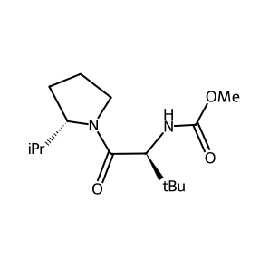 COC(=O)N[C@H](C(=O)N1CCC[C@H]1C(C)C)C(C)(C)C